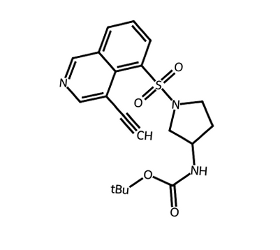 C#Cc1cncc2cccc(S(=O)(=O)N3CCC(NC(=O)OC(C)(C)C)C3)c12